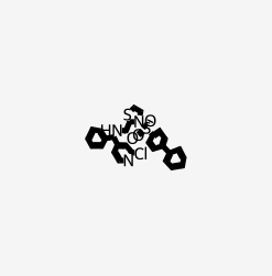 O=C(NC(c1ccccc1)c1ccnc(Cl)c1)C1SCCN1S(=O)(=O)c1ccc(-c2ccccc2)cc1